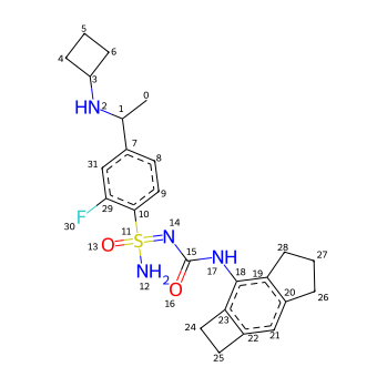 CC(NC1CCC1)c1ccc(S(N)(=O)=NC(=O)Nc2c3c(cc4c2CC4)CCC3)c(F)c1